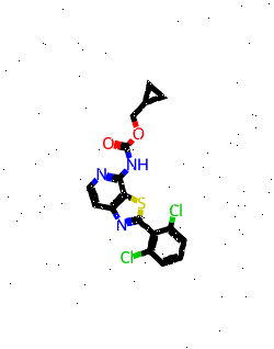 O=C(Nc1nccc2nc(-c3c(Cl)cccc3Cl)sc12)OCC1CC1